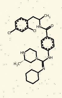 CC(Cc1ccc(Cl)cc1Cl)NC(=O)c1ccc(N/C(=N/C2CCCCC2)N2CCN[C@@H](C)C2)cc1